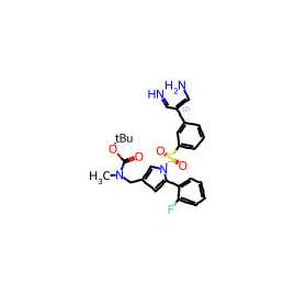 CN(Cc1cc(-c2ccccc2F)n(S(=O)(=O)c2cccc(/C(C=N)=C/N)c2)c1)C(=O)OC(C)(C)C